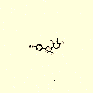 CC(C)c1ccc([C@H]2CN(C3CCC(=O)NC3=O)C(=O)O2)cc1